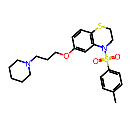 Cc1ccc(S(=O)(=O)N2CCSc3ccc(OCCCN4CCCCC4)cc32)cc1